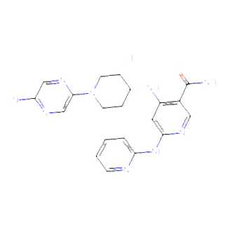 C[C@H]1CN(c2cnc(N)cn2)CC[C@H]1Nc1cc(Nc2ccccn2)ncc1C(N)=O